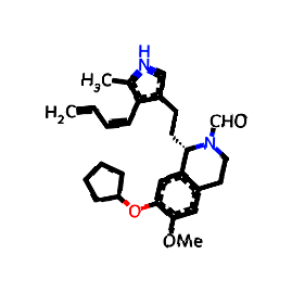 C=C/C=C\c1c(CC[C@H]2c3cc(OC4CCCC4)c(OC)cc3CCN2C=O)c[nH]c1C